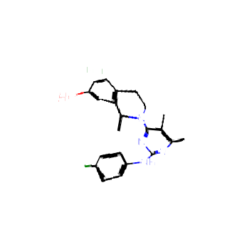 Cc1nc(Nc2ccc(F)cc2)nc(N2CCc3ccc(O)cc3C2C)c1C.Cl